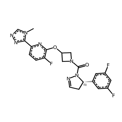 Cn1cnnc1-c1ccc(F)c(OC2CN(C(=O)N3N=CC[C@H]3c3cc(F)cc(F)c3)C2)n1